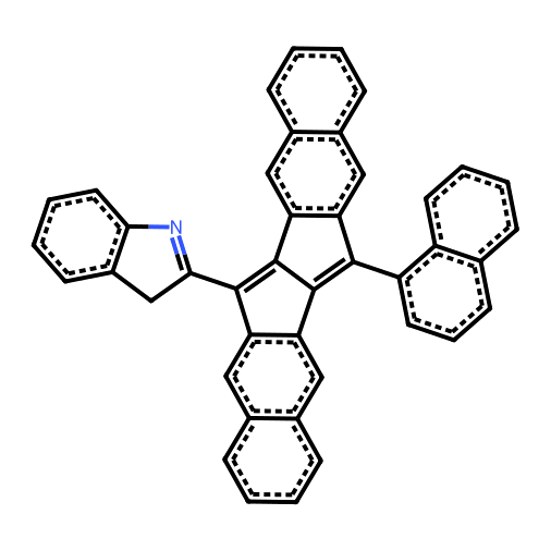 c1ccc2c(c1)CC(C1=C3C(=C(c4cccc5ccccc45)c4cc5ccccc5cc43)c3cc4ccccc4cc31)=N2